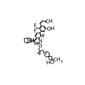 C#C/C=C\c1cc(O)cc(-c2c(F)cc3c(N4CC5CCC(C4)N5)nc(OCC4(CN5CCC6(CC5)CC(C)(O)C6)CC4)nc3c2F)c1CF